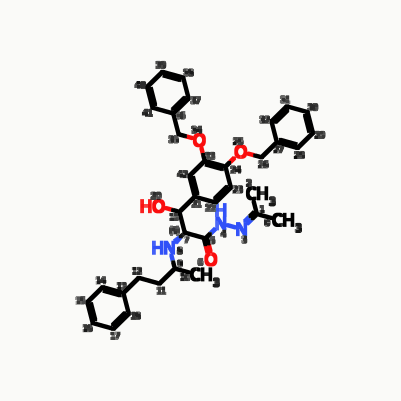 CC(C)=NNC(=O)[C@@H](NC(C)CCc1ccccc1)C(O)c1ccc(OCc2ccccc2)c(OCc2ccccc2)c1